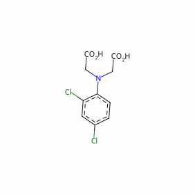 O=C(O)CN(CC(=O)O)c1ccc(Cl)cc1Cl